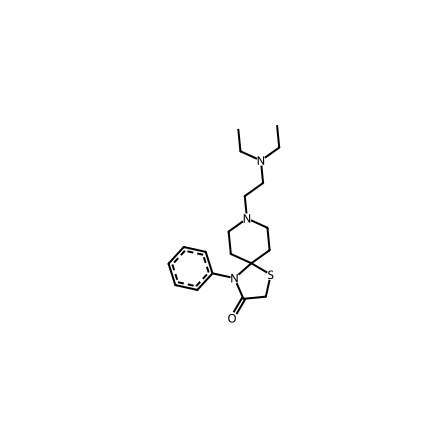 CCN(CC)CCN1CCC2(CC1)SCC(=O)N2c1ccccc1